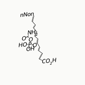 CCCCCCCCCC=CC=CC=CC=CC=CC=CC(=O)O.NC(=O)OP(=O)(O)O